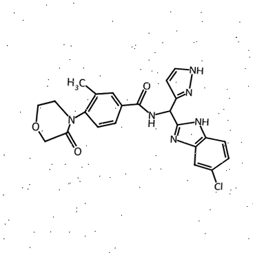 Cc1cc(C(=O)NC(c2cc[nH]n2)c2nc3cc(Cl)ccc3[nH]2)ccc1N1CCOCC1=O